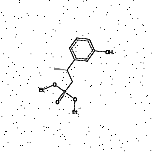 CCOP(=O)(C[C@H](C)c1cccc(O)c1)OCC